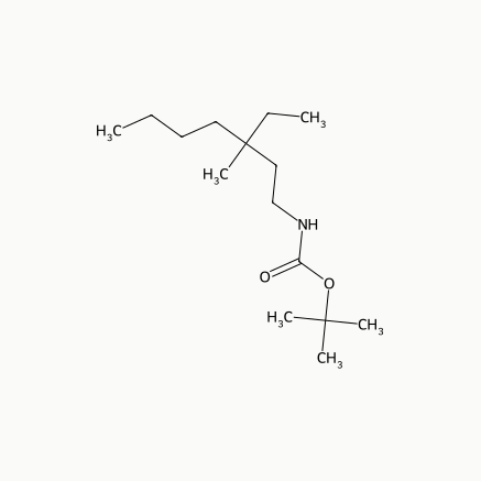 CCCCC(C)(CC)CCNC(=O)OC(C)(C)C